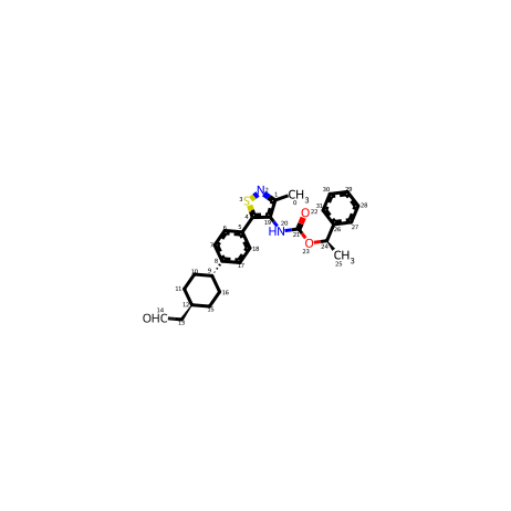 Cc1nsc(-c2ccc([C@H]3CC[C@H](CC=O)CC3)cc2)c1NC(=O)O[C@H](C)c1ccccc1